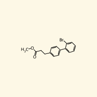 COC(=O)CCc1ccc(-c2ccccc2Br)cc1